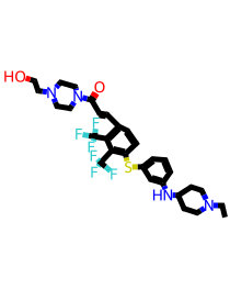 CCN1CCC(Nc2cccc(Sc3ccc(/C=C/C(=O)N4CCN(CCO)CC4)c(C(F)(F)F)c3C(F)(F)F)c2)CC1